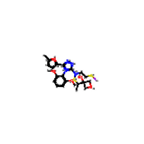 COc1cccc(OC)c1-n1c(-c2ccc(C)o2)nnc1N(CCSI)SC(C)C1(O)COC1